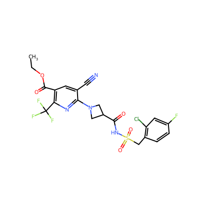 CCOC(=O)c1cc(C#N)c(N2CC(C(=O)NS(=O)(=O)Cc3ccc(F)cc3Cl)C2)nc1C(F)(F)F